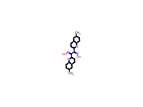 Cc1ccc2nc(C(=NO)C(=NO)c3ccc4cc(C)ccc4n3)ccc2c1